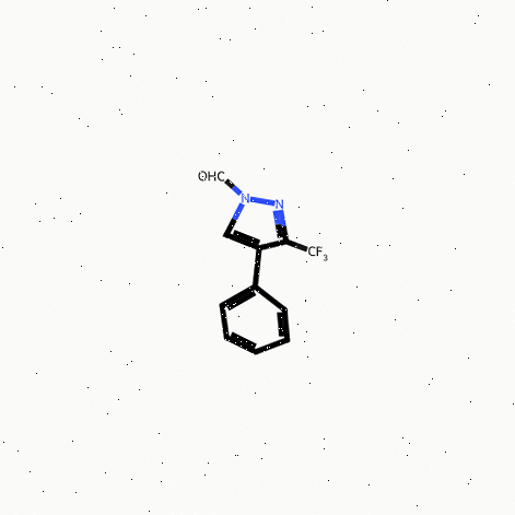 O=Cn1cc(-c2ccccc2)c(C(F)(F)F)n1